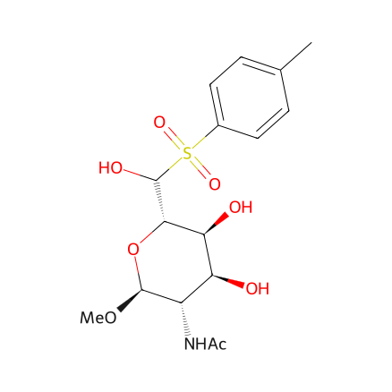 CO[C@H]1O[C@H](C(O)S(=O)(=O)c2ccc(C)cc2)[C@@H](O)[C@@H](O)[C@@H]1NC(C)=O